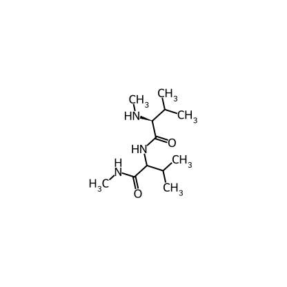 CNC(=O)C(NC(=O)[C@@H](NC)C(C)C)C(C)C